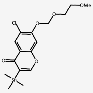 COCCOCOc1cc2oc[c]([Sn]([CH3])([CH3])[CH3])c(=O)c2cc1Cl